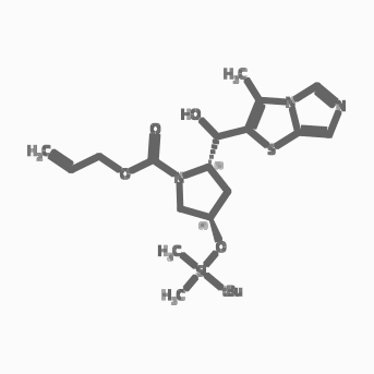 C=CCOC(=O)N1C[C@H](O[Si](C)(C)C(C)(C)C)C[C@H]1C(O)c1sc2cncn2c1C